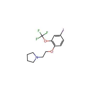 FC(F)(F)Oc1cc(I)ccc1OCCN1CCCC1